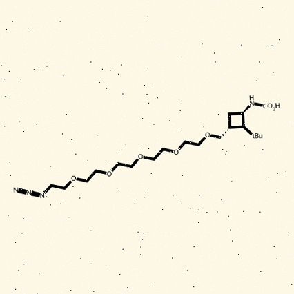 CC(C)(C)C1[C@H](COCCOCCOCCOCCOCCN=[N+]=[N-])C[C@H]1NC(=O)O